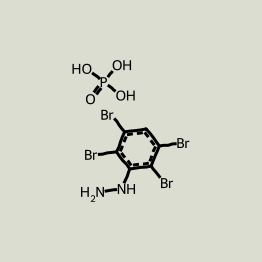 NNc1c(Br)c(Br)cc(Br)c1Br.O=P(O)(O)O